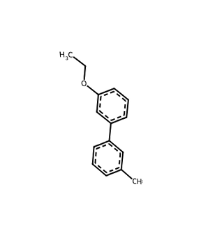 [CH]c1cccc(-c2cccc(OCC)c2)c1